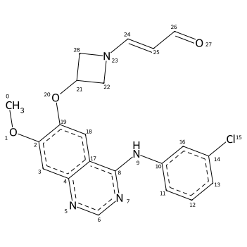 COc1cc2ncnc(Nc3cccc(Cl)c3)c2cc1OC1CN(C=CC=O)C1